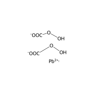 O=C([O-])OO.O=C([O-])OO.[Pb+2]